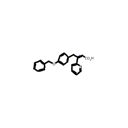 O=C(O)/C=C(/Cc1ccc(OCc2ccccc2)cc1)c1ccccn1